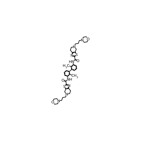 Cc1c(NC(=O)c2nc3c(s2)CN(CCCN2CCOCC2)CC3)cccc1-c1cccc(NC(=O)c2nc3c(s2)CN(CCCN2CCOCC2)CC3)c1C